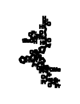 CO[C@H]([C@@H](C)C(=O)N[C@@H](Cc1ccccc1)C(=O)NS(=O)(=O)c1ccc(C2(NC(=O)[C@H](CCCNC(N)=O)NC(=O)[C@@H](NC(=O)OC(C)(C)C)C(C)C)CC2)cc1)[C@@H]1CCCN1C(=O)C[C@@H](OC)[C@H](C(C)C)N(C)C(=O)[C@@H](NC(=O)[C@H](C(C)C)N(C)C)C(C)C